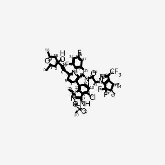 CC1CC(O)(C#Cc2ccc(-c3ccc(Cl)c4c(NS(C)(=O)=O)nn(C)c34)c([C@H](Cc3cc(F)cc(F)c3)NC(=O)Cn3nc(C(F)(F)F)c4c3C(F)(F)[C@H](C)[C@@H]4C)n2)CC(C)O1